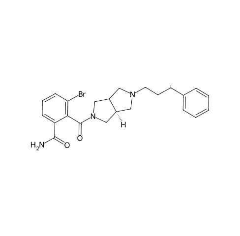 NC(=O)c1cccc(Br)c1C(=O)N1CC2CN(CC[CH]c3ccccc3)C[C@H]2C1